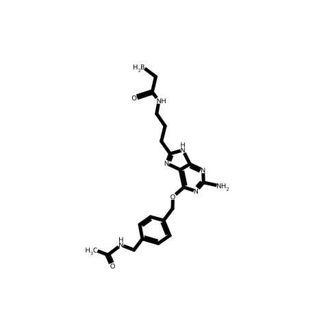 BCC(=O)NCCCc1nc2c(OCc3ccc(CNC(C)=O)cc3)nc(N)nc2[nH]1